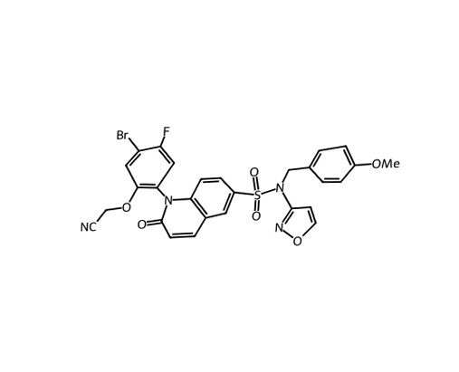 COc1ccc(CN(c2ccon2)S(=O)(=O)c2ccc3c(ccc(=O)n3-c3cc(F)c(Br)cc3OCC#N)c2)cc1